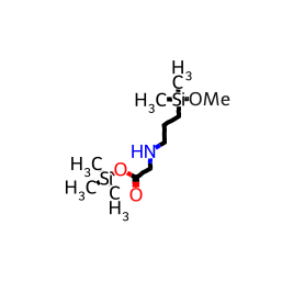 CO[Si](C)(C)CCCNCC(=O)O[Si](C)(C)C